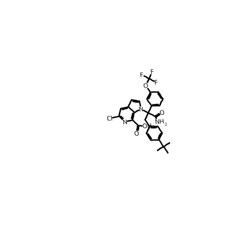 CC(C)(C)c1ccc(CC(C(N)=O)(c2cccc(OC(F)(F)F)c2)n2ccc3cc(Cl)nc(C(=O)O)c32)cc1